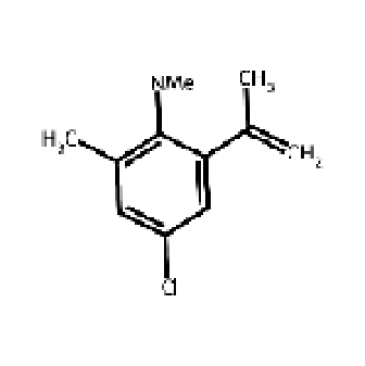 C=C(C)c1cc(Cl)cc(C)c1NC